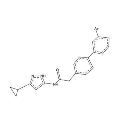 CC(=O)c1cccc(-c2ccc(CC(=O)Nc3cc(C4CC4)n[nH]3)cc2)c1